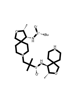 C[C@H]1OCC2(CCNCC2)[C@@H]1N[S@+]([O-])C(C)(C)CN1CCC2(CC1)CO[C@H](C)[C@@H]2N[S@+]([O-])C(C)(C)C